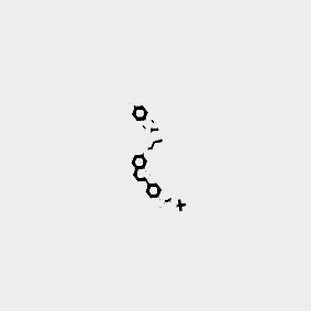 CC(OC(CF)COc1ccc2ccc(-c3ccc(N(C)C(=O)OC(C)(C)C)cc3)nc2c1)S(=O)(=O)c1ccc(Br)cc1